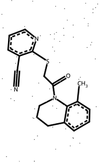 Cc1cccc2c1N(C(=O)CSc1ncccc1C#N)CCC2